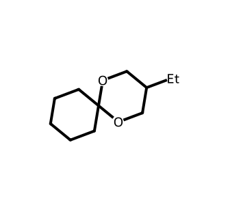 CCC1COC2(CCCCC2)OC1